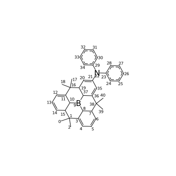 CC1(C)C2=CC=CC3C2B2C4C(=CC=CC41)C(C)(C)C1C=C(N(c4ccccc4)c4ccccc4)C=C(C21)C3(C)C